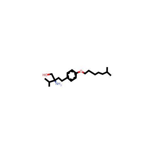 CC(C)CCCCCOc1ccc(CCC(N)(CO)C(C)C)cc1